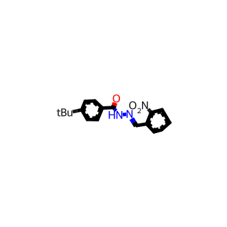 CC(C)(C)c1ccc(C(=O)N/N=C/c2ccccc2[N+](=O)[O-])cc1